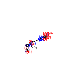 O=C(NCCCCCCNc1ncnc2c1ncn2[C@@H]1O[C@H](COP(=O)(O)O)[C@@H](O)[C@H]1O)[C@H](Cc1cc(I)c(Oc2cc(I)c(O)c(I)c2)c(I)c1)NC(=O)C(F)(F)F